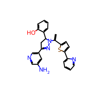 C=C(c1ccc(-c2ccccn2)s1)N1N=C(c2cncc(N)c2)CC1c1ccccc1O